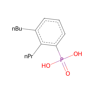 CCCCc1cccc(P(=O)(O)O)c1CCC